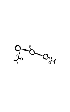 C=C(C)C(=O)OCc1ccccc1C#Cc1ccc(C#Cc2ccc(OC(=O)C(=C)C)cc2)cc1F